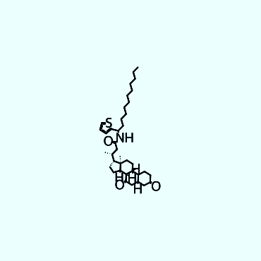 CCCCCCCCCCCC(NC(=O)C[C@@H](C)[C@H]1CC[C@H]2[C@@H]3C(=O)C[C@@H]4CC(=O)CC[C@]4(C)[C@H]3CC[C@]12C)c1cccs1